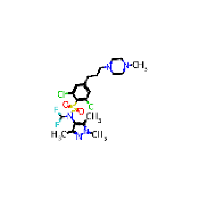 Cc1nn(C)c(C)c1N(C(F)F)S(=O)(=O)c1c(Cl)cc(CCCN2CCN(C)CC2)cc1Cl